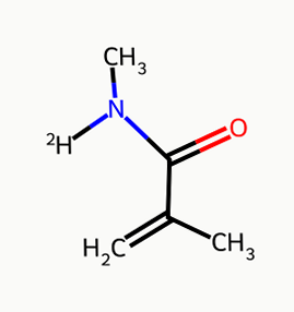 [2H]N(C)C(=O)C(=C)C